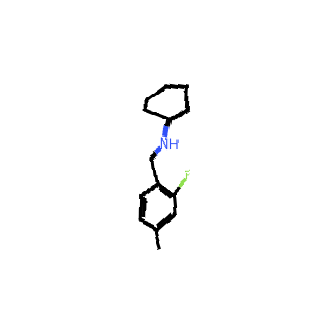 Cc1ccc(CNC2CCCCC2)c(F)c1